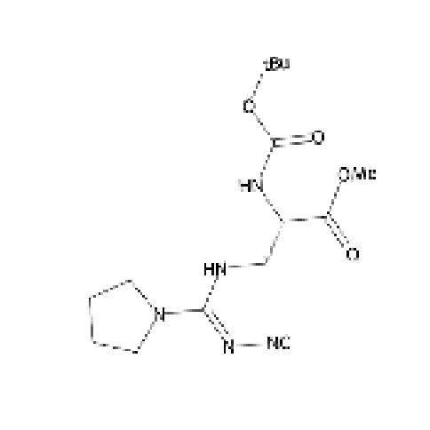 [C-]#[N+]/N=C(\NC[C@H](NC(=O)OC(C)(C)C)C(=O)OC)N1CCCC1